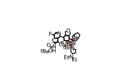 CCN(CC)[C@H]1CCN(c2nc(N3C4CCC3CN(C(=O)OC(C)(C)C)C4)c3c4c(c(-c5ncc(F)c6sc(NC(=O)OC(C)(C)C)c(C#N)c56)c(F)c3n2)COC4)C1